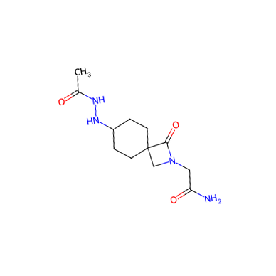 CC(=O)NNC1CCC2(CC1)CN(CC(N)=O)C2=O